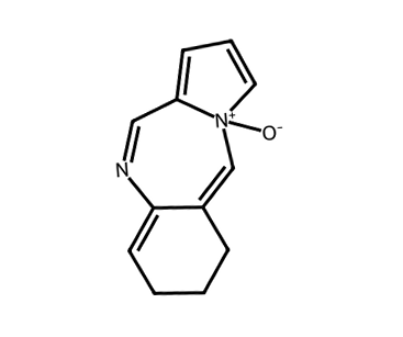 [O-][N+]12C=CC=C1C=NC1=CCCCC1=C2